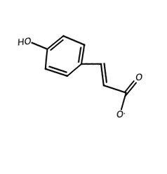 [O]C(=O)/C=C/c1ccc(O)cc1